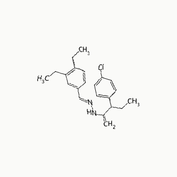 C=C(N/N=C/c1ccc(CC)c(CC)c1)C(CC)c1ccc(Cl)cc1